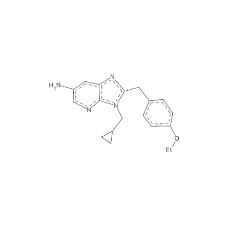 CCOc1ccc(Cc2nc3cc(N)cnc3n2CC2CC2)cc1